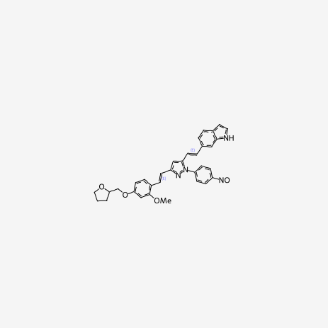 COc1cc(OCC2CCCO2)ccc1/C=C/c1cc(/C=C/c2ccc3cc[nH]c3c2)n(-c2ccc(N=O)cc2)n1